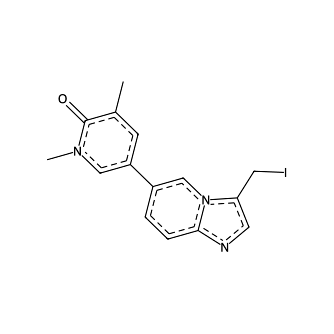 Cc1cc(-c2ccc3ncc(CI)n3c2)cn(C)c1=O